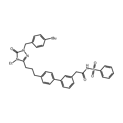 CCn1c(CCCc2ccc(-c3cccc(CC(=O)NS(=O)(=O)c4ccccc4)c3)cc2)nn(Cc2ccc(C(C)(C)C)cc2)c1=O